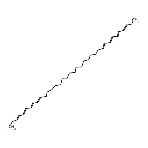 CCC=CC=CC=CC=CCCCCCCC[CH]CCCCCCCCC=CC=CC=CC=CCC